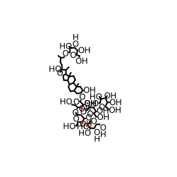 CC(CCC1(O)OC2CC3C4CCC5CC(OC6OC(CO)C(OC7OC(CO)C(O)C(OC8OC(CO)C(O)C(O)C8O)C7OC7OC(CO)C(O)C(OC8OC(CO)C(O)C(O)C8O)C7O)C(O)C6O)C(O)CC5(C)C4CCC3(C)C2C1C)COC1OC(CO)C(O)C(O)C1O